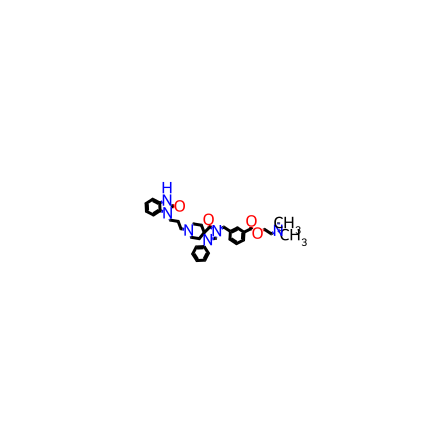 CN(C)CCOC(=O)c1cccc(CN2CN(c3ccccc3)C3(CCN(CCCn4c(=O)[nH]c5ccccc54)CC3)C2=O)c1